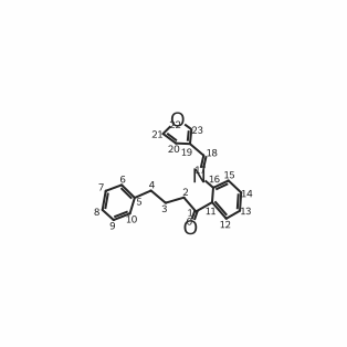 O=C(CCCc1ccccc1)c1ccccc1/N=C/c1ccoc1